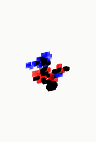 CCOC(=O)CCc1ccccc1O[P@](=O)(NC(C)C(=O)OCC)OC[C@H]1O[C@@H](n2cnc3c(N)nc(N)nc32)[C@](C)(O)[C@@H]1O